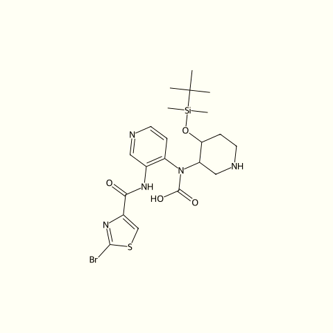 CC(C)(C)[Si](C)(C)OC1CCNCC1N(C(=O)O)c1ccncc1NC(=O)c1csc(Br)n1